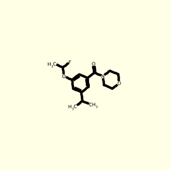 CC(F)Oc1cc(C(=O)N2CCOCC2)cc(C(C)C)c1